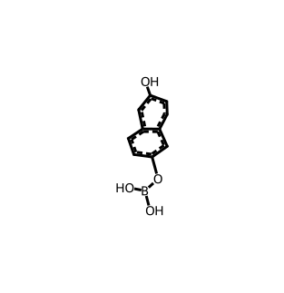 OB(O)Oc1ccc2cc(O)ccc2c1